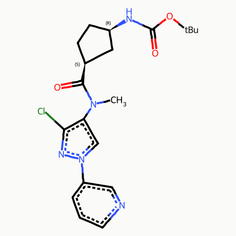 CN(C(=O)[C@H]1CC[C@@H](NC(=O)OC(C)(C)C)C1)c1cn(-c2cccnc2)nc1Cl